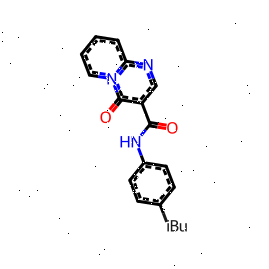 CCC(C)c1ccc(NC(=O)c2cnc3ccccn3c2=O)cc1